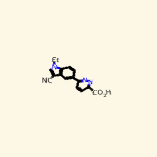 CCn1cc(C#N)c2cc(-c3ccc(C(=O)O)nn3)ccc21